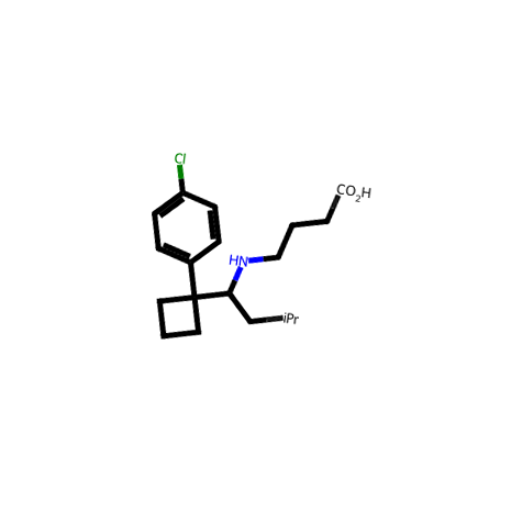 CC(C)CC(NCCCC(=O)O)C1(c2ccc(Cl)cc2)CCC1